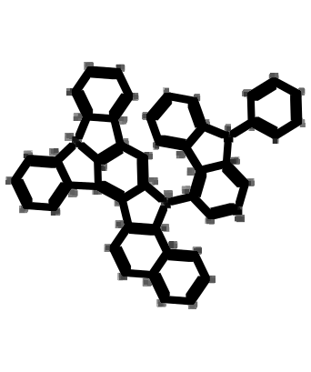 c1ccc(-n2c3ccccc3c3c(-n4c5cc6c7ccccc7n7c8ccccc8c(c5c5ccc8ccccc8c54)c67)cncc32)cc1